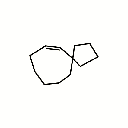 C1=CC2(CCCCC1)CCCC2